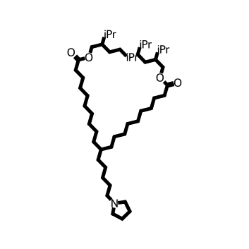 CC(C)CCC(COC(=O)CCCCCCCCCC(CCCCCCCCCC(=O)OCC(CCC(C)C)C(C)C)CCCCCN1CCCC1)C(C)C